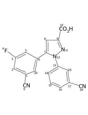 N#Cc1cc(F)cc(-c2cc(C(=O)O)nn2-c2cccc(C#N)c2)c1